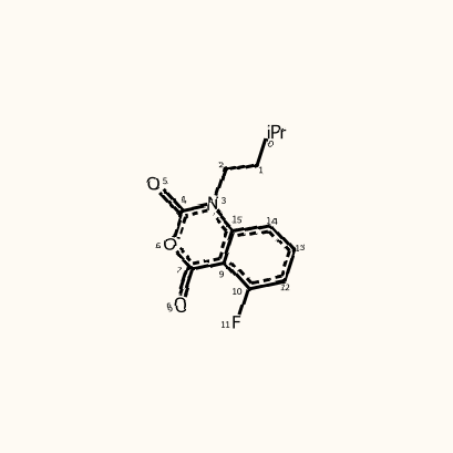 CC(C)CCn1c(=O)oc(=O)c2c(F)cccc21